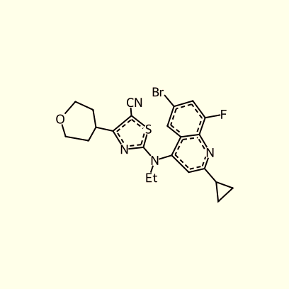 CCN(c1nc(C2CCOCC2)c(C#N)s1)c1cc(C2CC2)nc2c(F)cc(Br)cc12